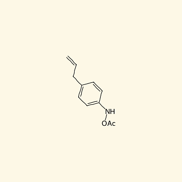 C=CCc1ccc(NOC(C)=O)cc1